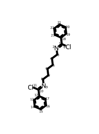 Cl/C(=N\CCCCCC/N=C(\Cl)c1ccccc1)c1ccccc1